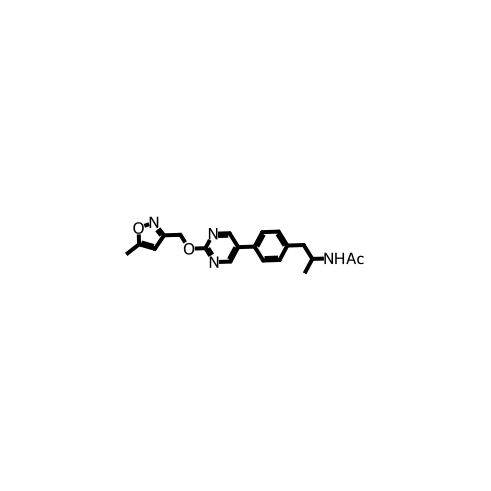 CC(=O)NC(C)Cc1ccc(-c2cnc(OCc3cc(C)on3)nc2)cc1